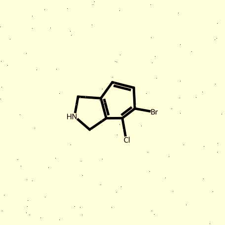 Clc1c(Br)ccc2c1CNC2